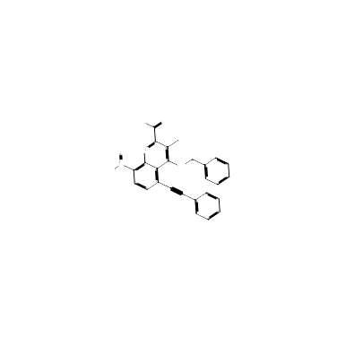 Cc1c(C(=O)O)nc2c([N+](=O)[O-])ccc(C#Cc3ccccc3)c2c1OCc1ccccc1